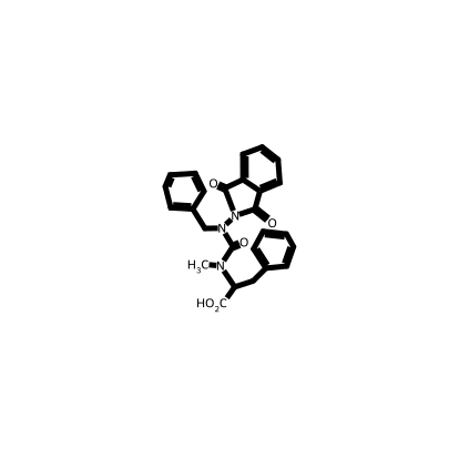 CN(C(=O)N(Cc1ccccc1)N1C(=O)c2ccccc2C1=O)C(Cc1ccccc1)C(=O)O